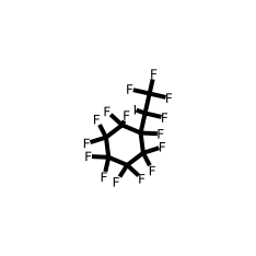 FC(F)(F)C(F)(I)C1(F)C(F)(F)C(F)(F)C(F)(F)C(F)(F)C1(F)F